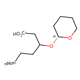 CCCCCCCCCCCC(CC(=O)O)O[C@@H]1CCCCO1